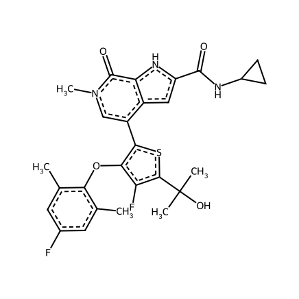 Cc1cc(F)cc(C)c1Oc1c(-c2cn(C)c(=O)c3[nH]c(C(=O)NC4CC4)cc23)sc(C(C)(C)O)c1F